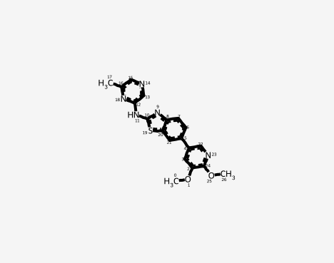 COc1cc(-c2ccc3nc(Nc4cncc(C)n4)sc3c2)cnc1OC